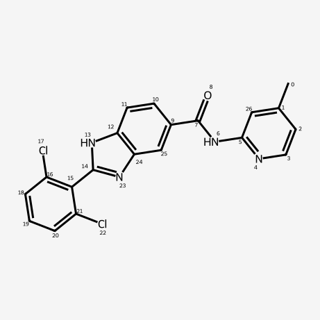 Cc1ccnc(NC(=O)c2ccc3[nH]c(-c4c(Cl)cccc4Cl)nc3c2)c1